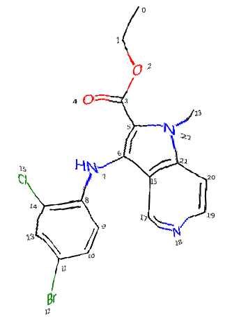 CCOC(=O)c1c(Nc2ccc(Br)cc2Cl)c2cnccc2n1C